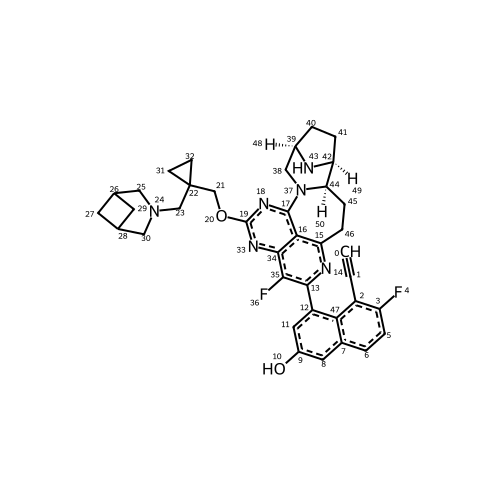 C#Cc1c(F)ccc2cc(O)cc(-c3nc4c5c(nc(OCC6(CN7CC8CC(C8)C7)CC6)nc5c3F)N3C[C@H]5CC[C@H](N5)[C@H]3CC4)c12